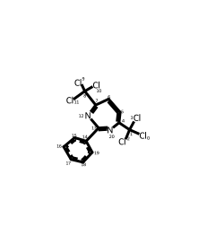 ClC(Cl)(Cl)C1=C=CC(C(Cl)(Cl)Cl)=NC(c2ccccc2)=N1